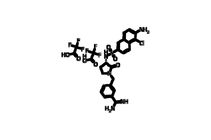 N=C(N)c1cccc(CN2CC[C@H](NS(=O)(=O)c3ccc4c(Cl)c(N)ccc4c3)C2=O)c1.O=C(O)C(F)(F)F.O=C(O)C(F)(F)F